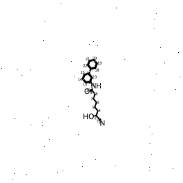 N#CC(O)CCCCCC(=O)Nc1cccc(-c2ccccc2)c1